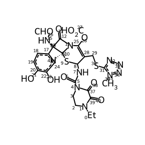 CCN1CCN(C(=O)NC2S[C@@H]3N(C(=O)[C@@]3(NC=O)c3ccc(O)c(O)c3)C(OC(=O)O)=C2CSc2nnnn2C)C(=O)C1=O